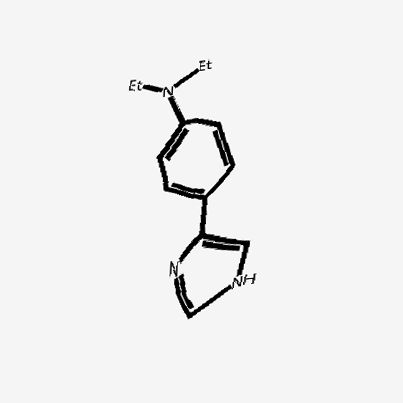 CCN(CC)c1ccc(-c2c[nH]cn2)cc1